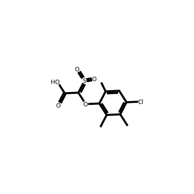 Cc1cc(Cl)c(C)c(C)c1OC(C(=O)O)=S(=O)=O